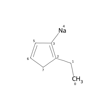 CCC1=[C]([Na])C=CC1